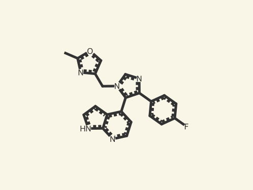 Cc1nc(Cn2cnc(-c3ccc(F)cc3)c2-c2ccnc3[nH]ccc23)co1